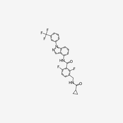 O=C(Nc1cccc2c1cnn2-c1cccc(C(F)(F)F)c1)c1c(F)ccc(CNC(=O)C2CC2)c1F